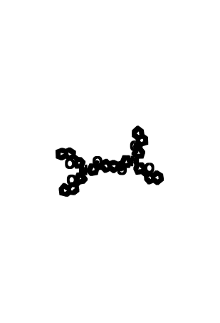 c1ccc2c(c1)ccc1c3ccc(N(c4ccc5c(c4)oc4cc6cc7c(cc6cc45)oc4cc(N(c5ccc6c(c5)oc5c8ccccc8ccc65)c5ccc6c(c5)oc5c8ccccc8ccc65)ccc47)c4ccc5c(c4)oc4c6ccccc6ccc54)cc3oc21